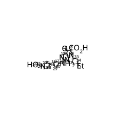 CCc1ccc(-n2cc(C(=O)O)c(=O)c3cnc(Nc4ccc(C5CCN(CCO)CC5)cc4)nc32)cc1